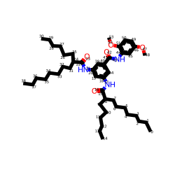 CCCCCCCCC(CCCCCC)C(=O)Nc1cc(NC(=O)C(CCCCCC)CCCCCCCC)cc(C(=O)Nc2cc(OC)ccc2OC)c1